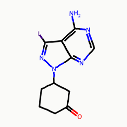 Nc1ncnc2c1c(I)nn2C1CCCC(=O)C1